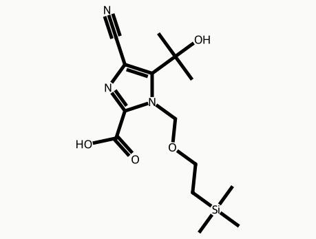 CC(C)(O)c1c(C#N)nc(C(=O)O)n1COCC[Si](C)(C)C